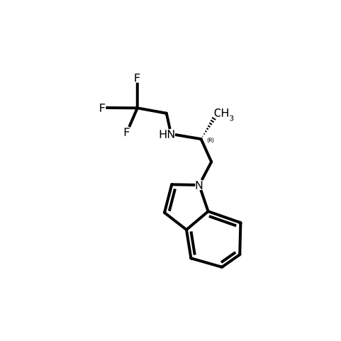 C[C@H](Cn1ccc2ccccc21)NCC(F)(F)F